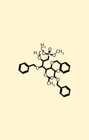 COC(CP(=O)(OC)OC)C(OCc1ccccc1)C(OC(C)=O)C(OCc1ccccc1)C(C)COCc1ccccc1